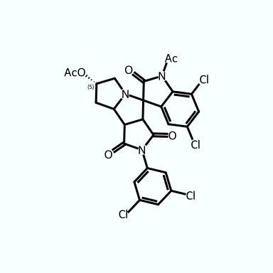 CC(=O)O[C@H]1CC2C3C(=O)N(c4cc(Cl)cc(Cl)c4)C(=O)C3C3(C(=O)N(C(C)=O)c4c(Cl)cc(Cl)cc43)N2C1